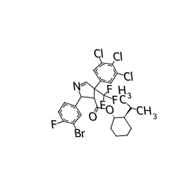 CC(C)[C@H]1CCCC[C@@H]1OC(=O)C1C(c2ccc(F)c(Br)c2)N=CC1(c1cc(Cl)c(Cl)c(Cl)c1)C(F)(F)F